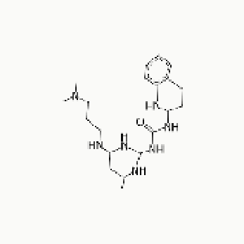 CC1CC(NCCCN(C)C)NC(NC(=O)NC2CCc3ccccc3N2)N1